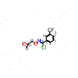 FC(F)(F)c1cccc(C(Cl)=NOCC2CO2)c1